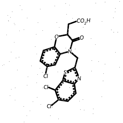 O=C(O)CC1Oc2ccc(Cl)cc2N(Cc2nc3ccc(Cl)c(Cl)c3s2)C1=O